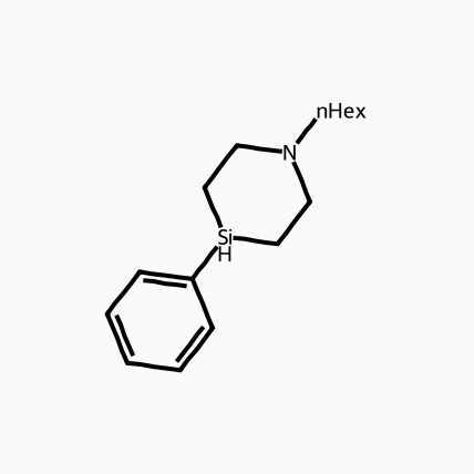 CCCCCCN1CC[SiH](c2ccccc2)CC1